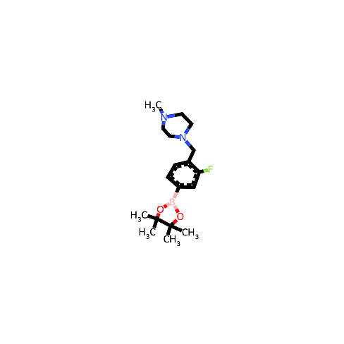 CN1CCN(Cc2ccc(B3OC(C)(C)C(C)(C)O3)cc2F)CC1